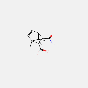 CC1(C)C2C=CC1(C)C(C(=O)O)C2C(N)=O